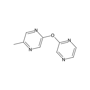 Cc1cnc(Oc2cnccn2)cn1